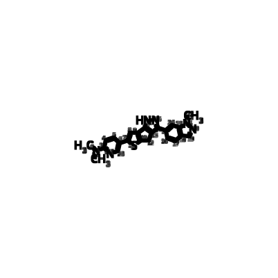 CN(C)c1ccc(-c2cc3c(s2)Cc2c(-c4ccc5cnn(C)c5c4)n[nH]c2-3)cn1